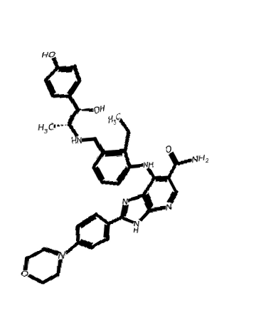 CCc1c(CN[C@H](C)[C@H](O)c2ccc(O)cc2)cccc1Nc1c(C(N)=O)cnc2[nH]c(-c3ccc(N4CCOCC4)cc3)nc12